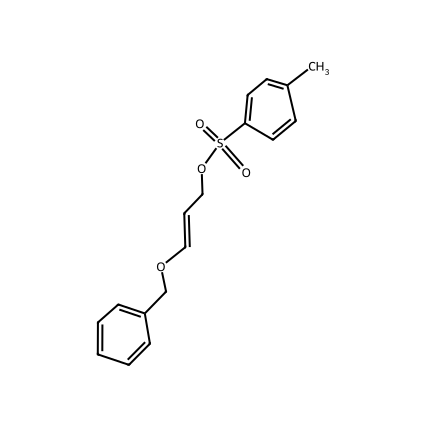 Cc1ccc(S(=O)(=O)OCC=COCc2ccccc2)cc1